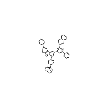 c1ccc(-c2ccc3oc4c(-c5ccc(C67CC8CC(CC(C8)C6)C7)cc5)cc(-c5cc(-c6ccccc6)nc(-c6ccc7ccccc7c6)n5)cc4c3c2)cc1